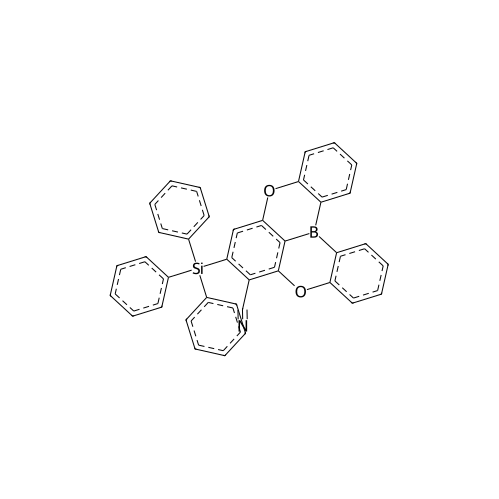 N#Cc1c([Si](c2ccccc2)(c2ccccc2)c2ccccc2)cc2c3c1Oc1ccccc1B3c1ccccc1O2